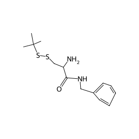 CC(C)(C)SSCC(N)C(=O)NCc1ccccc1